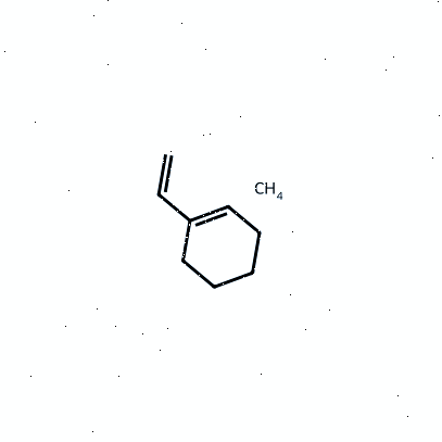 C.C=CC1=CCCCC1